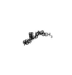 CCOC(=O)Cn1ccc2ccc(OCCc3cc(-c4ccc(OC(F)(F)F)cc4)nn3CC(F)(F)F)cc21